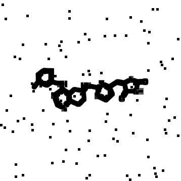 Cc1cccc(Nc2ncnc3c2CC(Nc2nccc(C=C4SC(=O)NC4=O)n2)CC3)c1